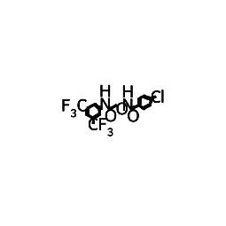 O=C(CONC(=O)c1ccc(Cl)cc1)Nc1cc(C(F)(F)F)cc(C(F)(F)F)c1